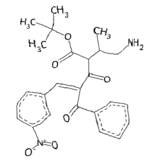 CC(CN)C(C(=O)OC(C)(C)C)C(=O)C(=Cc1cccc([N+](=O)[O-])c1)C(=O)c1ccccc1